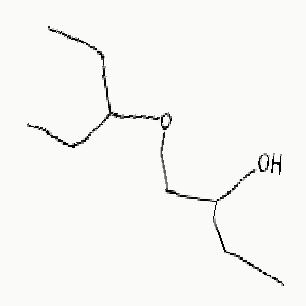 CCC(O)COC(CC)CC